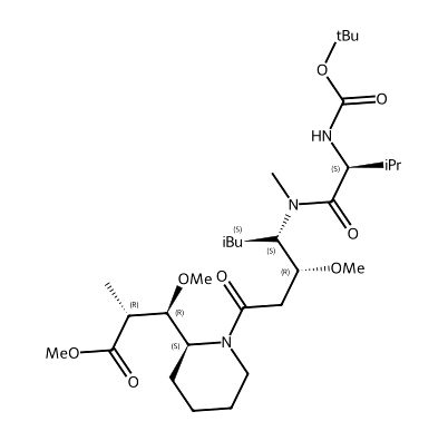 CC[C@H](C)[C@@H]([C@@H](CC(=O)N1CCCC[C@H]1[C@H](OC)[C@@H](C)C(=O)OC)OC)N(C)C(=O)[C@@H](NC(=O)OC(C)(C)C)C(C)C